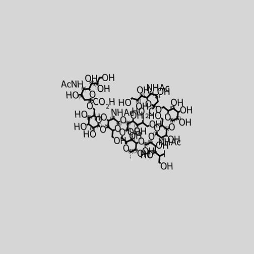 CC(=O)N[C@H]1C(O)[C@H](O[C@@H]2OC(CO[C@]3(C(=O)O)C[C@@H](O)[C@@H](NC(C)=O)C([C@H](O)[C@H](O)CO)O3)[C@H](O)C(O)[C@@H]2O)C(CO)O[C@H]1O[C@H](C(O)[C@H](O)C(I)CO)[C@H](O)OCC1O[C@@H](C)[C@H](O)C(O[C@@H](O)[C@H](O[C@@H]2OC(CO)[C@@H](O[C@@H]3OC(CO[C@]4(C(=O)O)C[C@@H](O)[C@@H](NC(C)=O)C([C@H](O)[C@H](O)CO)O4)[C@H](O)C(O)[C@@H]3O)C(O)[C@@H]2NC(C)=O)C(O)[C@H](O)C(I)CO)[C@@H]1O